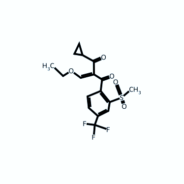 CCOC=C(C(=O)c1ccc(C(F)(F)F)cc1S(C)(=O)=O)C(=O)C1CC1